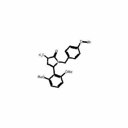 COc1cccc(OC)c1C1CC(C)C(=O)N1Cc1ccc(OC(C)C)cc1